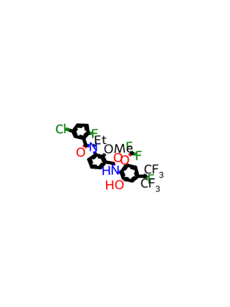 CCN(C(=O)c1cc(Cl)ccc1F)c1cccc(C(=O)Nc2c(O)cc(C(F)(C(F)(F)F)C(F)(F)F)cc2OC(F)F)c1OC